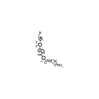 CCc1cc(Nc2nccn3c(-c4ccc(-c5cn(CC#N)nc5C)c(F)c4F)cnc23)ccc1C(=O)NCC1CC[N+](C)(CC(N)=O)CC1